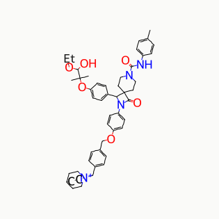 CCOC(O)C(C)(C)Oc1ccc(C2N(c3ccc(OCc4ccc(C[N+]56CCC(CC5)CC6)cc4)cc3)C(=O)C23CCN(C(=O)Nc2ccc(C)cc2)CC3)cc1